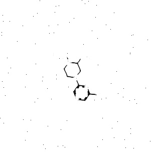 CC(C)(C)C1CN(c2cncc(Cl)n2)CCN1C(=O)O